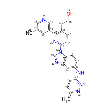 Cc1ccc(Nc2ccc3c(c2)ncn3-c2ccc(CCO)c(-c3cncc(C#N)c3)n2)nn1